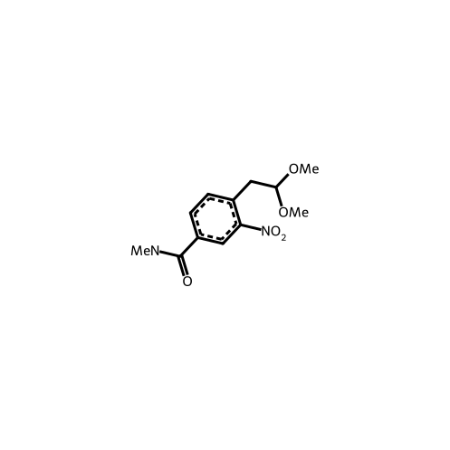 CNC(=O)c1ccc(CC(OC)OC)c([N+](=O)[O-])c1